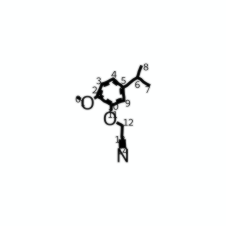 COc1ccc(C(C)C)cc1OCC#N